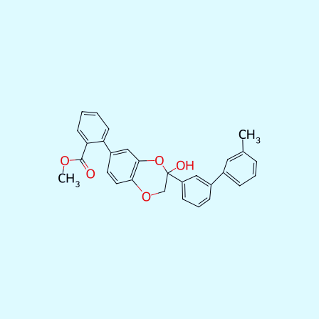 COC(=O)c1ccccc1-c1ccc2c(c1)OC(O)(c1cccc(-c3cccc(C)c3)c1)CO2